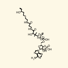 C=C[C@@H](O)CCSCCNC(=O)CCNC(=O)C(O)C(C)(C)COP(=O)(O)OP(=O)(O)OC[C@H]1O[C@@H](n2cnc3c(N)ncnc32)[C@H](O)[C@@H]1OP(=O)(O)O